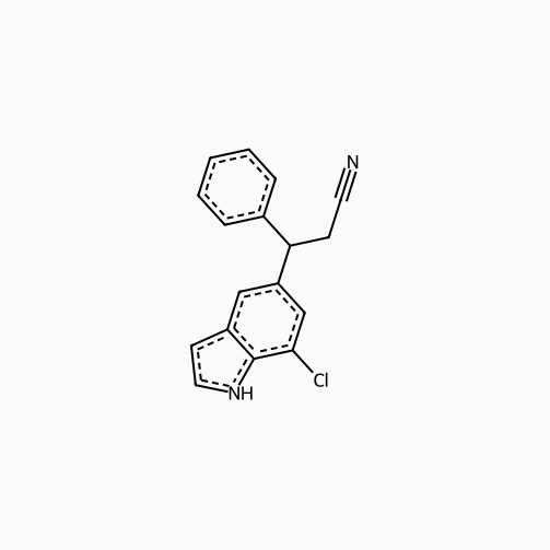 N#CCC(c1ccccc1)c1cc(Cl)c2[nH]ccc2c1